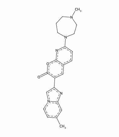 Cc1ccn2cc(-c3cc4ccc(N5CCCN(C)CC5)nc4oc3=O)nc2c1